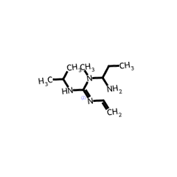 C=C/N=C(/NC(C)C)N(C)C(N)CC